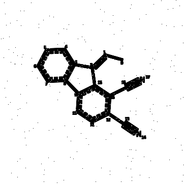 CC=C1c2ccccc2-c2ccc(C#N)c(C#N)c21